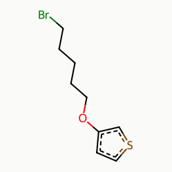 BrCCCCCOc1ccsc1